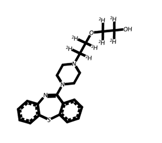 [2H]C([2H])(O)C([2H])([2H])OC([2H])([2H])C([2H])([2H])N1CCN(C2=Nc3ccccc3Sc3ccccc32)CC1